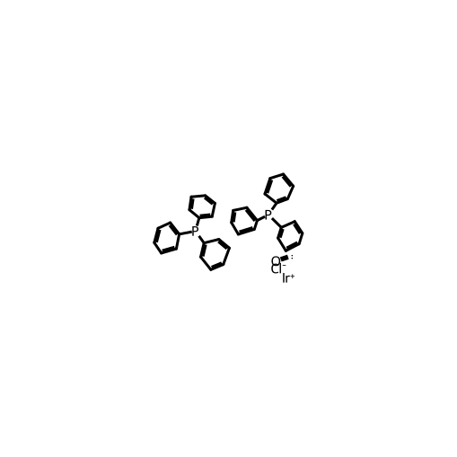 [C]=O.[Cl-].[Ir+].c1ccc(P(c2ccccc2)c2ccccc2)cc1.c1ccc(P(c2ccccc2)c2ccccc2)cc1